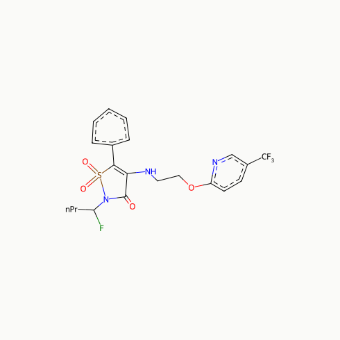 CCCC(F)N1C(=O)C(NCCOc2ccc(C(F)(F)F)cn2)=C(c2ccccc2)S1(=O)=O